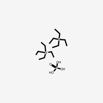 CC[N+](CC)(CC)CC.CC[N+](CC)(CC)CC.O=P(O)(O)O